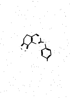 Oc1ccc(Nc2ncc3c(n2)-c2nonc2CC3)cc1